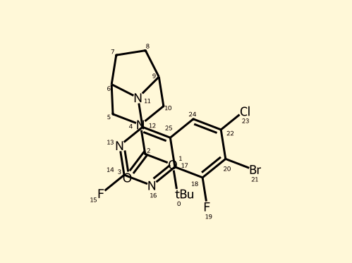 CC(C)(C)OC(=O)N1CC2CCC(C1)N2c1nc(F)nc2c(F)c(Br)c(Cl)cc12